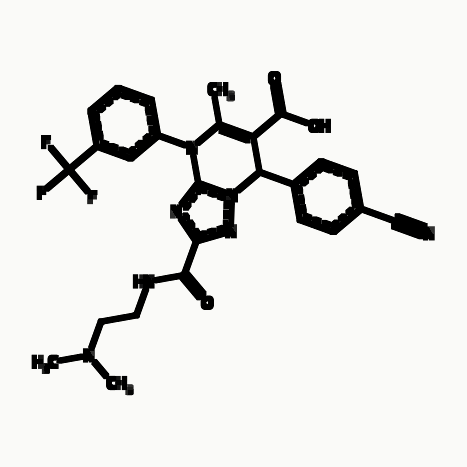 CC1=C(C(=O)O)C(c2ccc(C#N)cc2)n2nc(C(=O)NCCN(C)C)nc2N1c1cccc(C(F)(F)F)c1